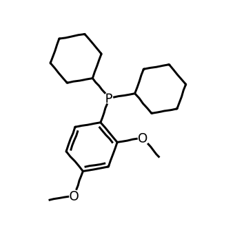 COc1ccc(P(C2CCCCC2)C2CCCCC2)c(OC)c1